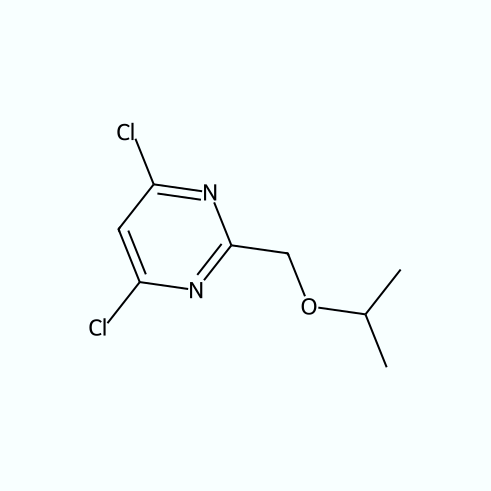 CC(C)OCc1nc(Cl)cc(Cl)n1